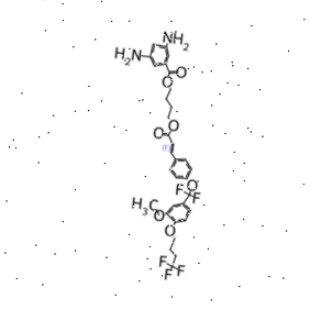 COc1cc(C(F)(F)Oc2ccc(/C=C/C(=O)OCCCCOC(=O)c3cc(N)cc(N)c3)cc2)ccc1OCCCC(F)(F)F